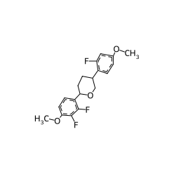 COc1ccc(C2CCC(c3ccc(OC)c(F)c3F)OC2)c(F)c1